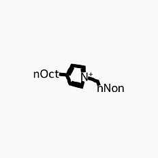 CCCCCCCCCC[n+]1ccc(CCCCCCCC)cc1